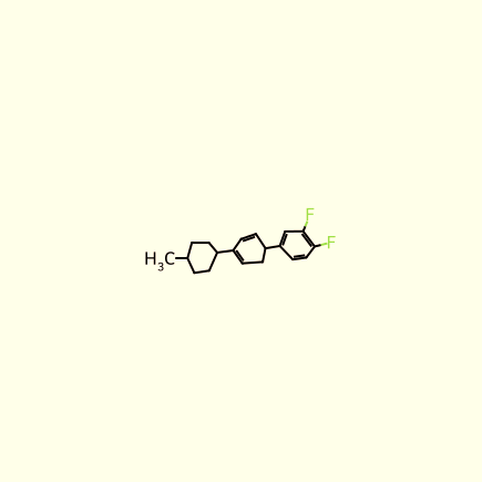 CC1CCC(C2=CCC(c3ccc(F)c(F)c3)C=C2)CC1